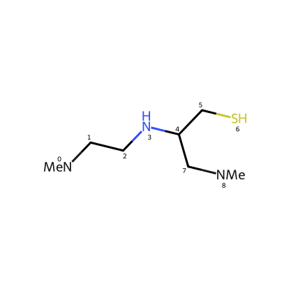 CNCCNC(CS)CNC